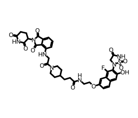 O=C(CCC1CCN(C(=O)CNc2cccc3c2C(=O)N(C2CCC(=O)NC2=O)C3=O)CC1)NCCOc1ccc2cc(O)c(N3CC(=O)NS3(=O)=O)c(F)c2c1